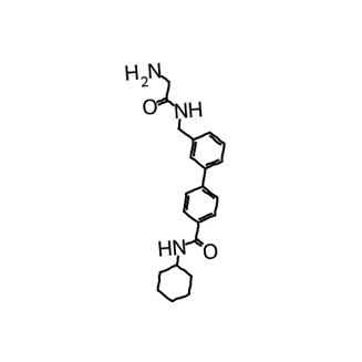 NCC(=O)NCc1cccc(-c2ccc(C(=O)NC3CCCCC3)cc2)c1